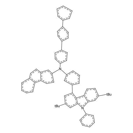 CC(C)(C)c1ccc2c3c(-c4cccc(N(c5ccc(-c6ccc(-c7ccccc7)cc6)cc5)c5ccc6c(ccc7ccccc76)c5)c4)cc(C(C)(C)C)cc3n(-c3ccccc3)c2c1